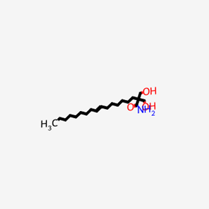 CCCCCCCCC=CCCCCCCC(CO)(CO)C(N)=O